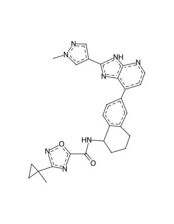 Cn1cc(-c2nc3c(-c4ccc5c(c4)CCCC5NC(=O)c4nc(C5(C)CC5)no4)ccnc3[nH]2)cn1